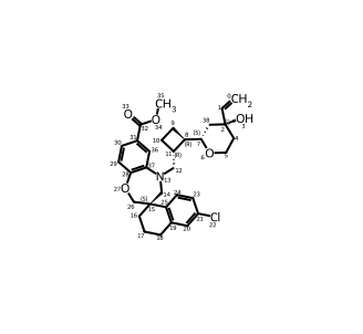 C=C[C@]1(O)CCO[C@H]([C@@H]2CC[C@H]2CN2C[C@@]3(CCCc4cc(Cl)ccc43)COc3ccc(C(=O)OC)cc32)C1